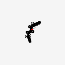 O=C1C(=CC2=Cc3cc4c(cc3C23CCCCC3)-c2cc3c(cc2C42CCCCC2)C=C(C=C2C(=O)c4cc5cc6ccccc6cc5cc4C2=O)C32CCCCC2)C(=O)c2cc3cc4ccccc4cc3cc21